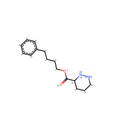 O=C(OCCCCc1ccccc1)C1CCCNN1